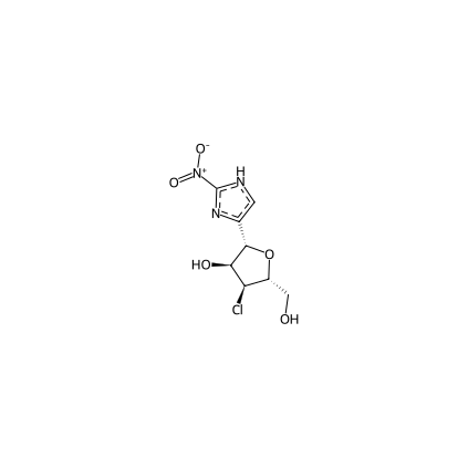 O=[N+]([O-])c1nc([C@@H]2O[C@H](CO)[C@@H](Cl)[C@H]2O)c[nH]1